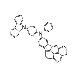 c1ccc(N(c2ccc(-n3c4ccccc4c4ccccc43)cc2)c2ccc3c(c2)-c2cc4cccc5ccc6ccc-3c2c6c54)cc1